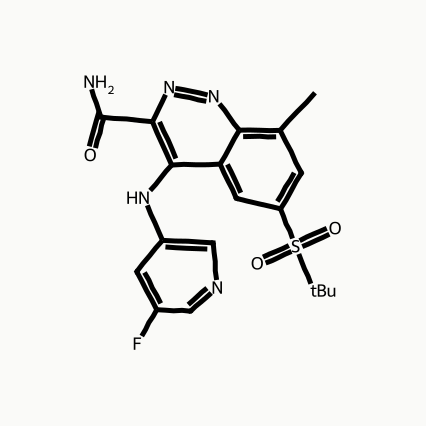 Cc1cc(S(=O)(=O)C(C)(C)C)cc2c(Nc3cncc(F)c3)c(C(N)=O)nnc12